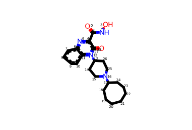 O=C(NO)c1nc2ccccc2n(C2CCN(C3CCCCCCC3)CC2)c1=O